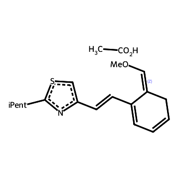 CC(=O)O.CCCC(C)c1nc(C=CC2=CC=CC/C2=C/OC)cs1